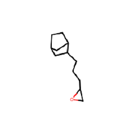 C(CC1CO1)CC1CC2CCC1C2